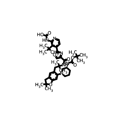 CC(C)(Cc1cc2c(cc1N1CCC[C@@H](NC(=O)OC(C)(C)C)C1)OC(C)(C)C2)NC(=O)c1coc(-c2ccnc(NC(=O)O)c2C(C)(C)C)n1